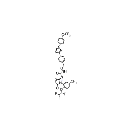 Cc1ccc(OC(F)C(F)F)c(N2C(=O)CS/C2=N\C(=O)NOCc2ccc(-c3ncn(-c4ccc(OC(F)(F)F)cc4)n3)cc2)c1